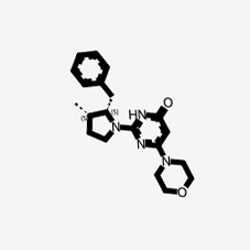 C[C@H]1CCN(c2nc(N3CCOCC3)cc(=O)[nH]2)[C@H]1Cc1ccccc1